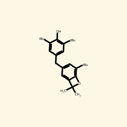 CC(C)(C)c1cc(Cc2cc(C(C)(C)C)c3c(c2)C(C)(C)O3)cc(C(C)(C)C)c1O